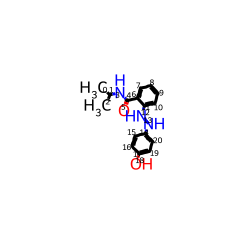 CC(C)NC(=O)c1ccccc1NNc1ccc(O)cc1